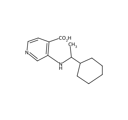 CC(Nc1cnccc1C(=O)O)C1CCCCC1